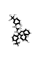 O=C(Nc1cc(C(F)(F)F)ccc1Cl)NC(Cc1ccccc1)(c1cccc(C(F)(F)F)c1)c1ccc(I)cn1